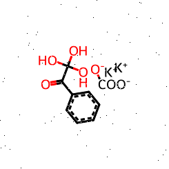 O=C([O-])[O-].O=C(c1ccccc1)C(O)(O)O.[K+].[K+]